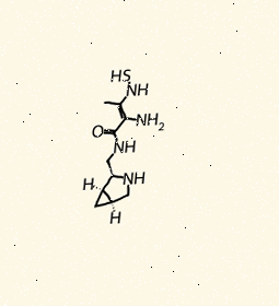 C/C(NS)=C(/N)C(=O)NC[C@H]1NC[C@H]2C[C@H]21